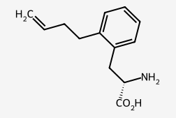 C=CCCc1ccccc1C[C@H](N)C(=O)O